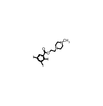 CN1CCN(CCOC(=O)c2cc(I)cc(I)c2I)CC1